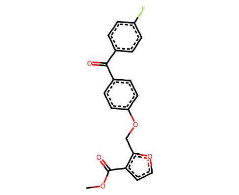 COC(=O)c1ccoc1COc1ccc(C(=O)c2ccc(F)cc2)cc1